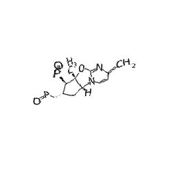 C=C1C=CN2C(=N1)O[C@@]1(C)[C@H](P=O)[C@@H](CP=O)C[C@@H]21